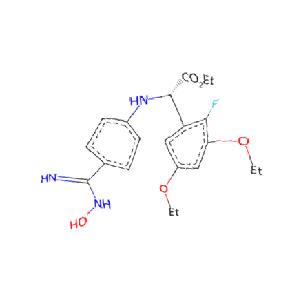 CCOC(=O)[C@@H](Nc1ccc(C(=N)NO)cc1)c1cc(OCC)cc(OCC)c1F